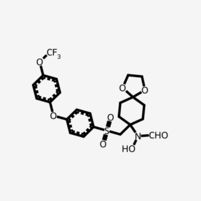 O=CN(O)C1(CS(=O)(=O)c2ccc(Oc3ccc(OC(F)(F)F)cc3)cc2)CCC2(CC1)OCCO2